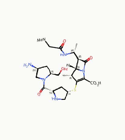 CNCC(=O)N[C@H](C)[C@H]1C(=O)N2C(C(=O)O)=C(S[C@@H]3CN[C@H](C(=O)N4C[C@@H](N)C[C@H]4CO)C3)[C@H](C)[C@H]12